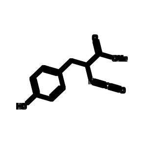 COC(=O)C(Cc1ccc(O)cc1)N=C=O